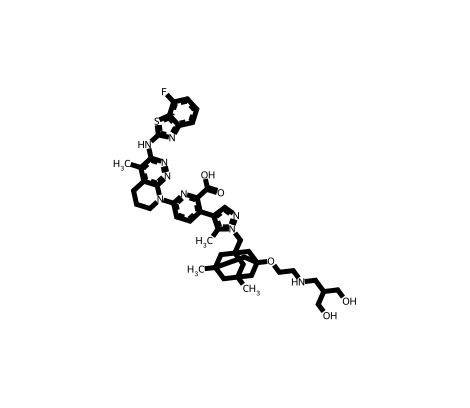 Cc1c(Nc2nc3cccc(F)c3s2)nnc2c1CCCN2c1ccc(-c2cnn(CC34CC5(C)CC(C)(C3)CC(OCCNCC(CO)CO)(C5)C4)c2C)c(C(=O)O)n1